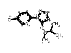 CC(C)N(C)Cc1nnnn1-c1ccc(Cl)cn1